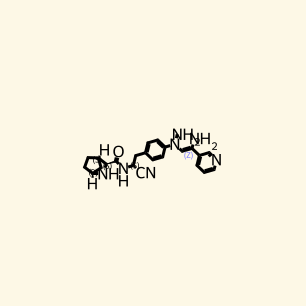 N#C[C@H](Cc1ccc(N(N)/C=C(\N)c2cccnc2)cc1)NC(=O)[C@H]1N[C@@H]2CC[C@H]1C2